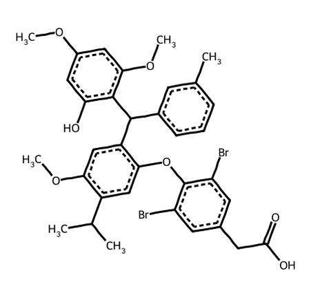 COc1cc(O)c(C(c2cccc(C)c2)c2cc(OC)c(C(C)C)cc2Oc2c(Br)cc(CC(=O)O)cc2Br)c(OC)c1